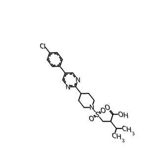 CC(C)C(CS(=O)(=O)N1CCC(c2ncc(-c3ccc(Cl)cc3)cn2)CC1)C(=O)O